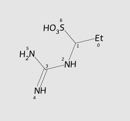 CCC(NC(=N)N)S(=O)(=O)O